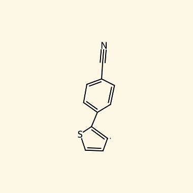 N#Cc1ccc(-c2[c]ccs2)cc1